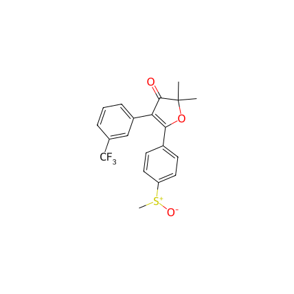 C[S+]([O-])c1ccc(C2=C(c3cccc(C(F)(F)F)c3)C(=O)C(C)(C)O2)cc1